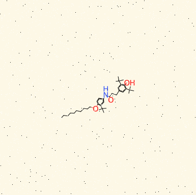 CCCCCCCCCCOc1ccc(NC(=O)CCc2cc(C(C)(C)C)c(O)c(C(C)(C)C)c2)cc1C(C)(C)C